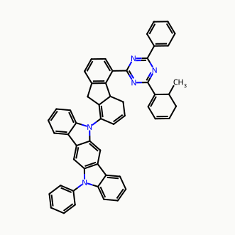 CC1CC=CC=C1c1nc(-c2ccccc2)nc(-c2cccc3c2C2CC=CC(n4c5ccccc5c5cc6c(cc54)c4ccccc4n6-c4ccccc4)=C2C3)n1